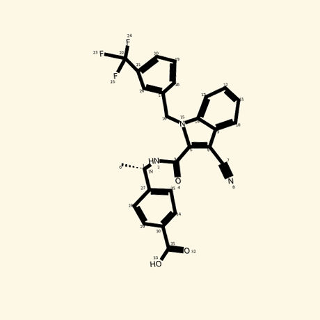 C[C@H](NC(=O)c1c(C#N)c2ccccc2n1Cc1cccc(C(F)(F)F)c1)c1ccc(C(=O)O)cc1